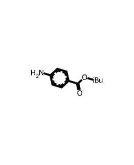 CCC(C)OC(=O)c1ccc(N)cc1